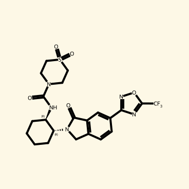 O=C(N[C@@H]1CCCC[C@H]1N1Cc2ccc(-c3noc(C(F)(F)F)n3)cc2C1=O)N1CCS(=O)(=O)CC1